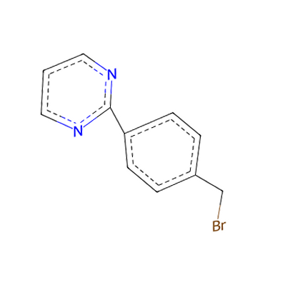 BrCc1ccc(-c2ncccn2)cc1